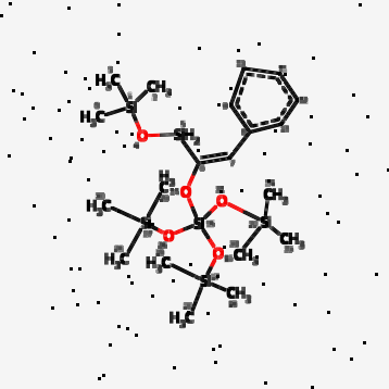 C[Si](C)(C)O[SiH2]C(=Cc1ccccc1)O[Si](O[Si](C)(C)C)(O[Si](C)(C)C)O[Si](C)(C)C